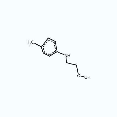 Cc1ccc(NCCOO)cc1